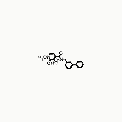 Cn1ccc(C(=O)NCc2cccc(-c3ccccc3)c2)c(O)c1=O